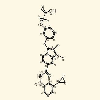 Cc1c(Cc2cccc(OC(C)(C)C(=O)O)c2)c2ccc(C(=O)N[C@@H](C)c3cccc(C4CC4)c3)cc2n1C